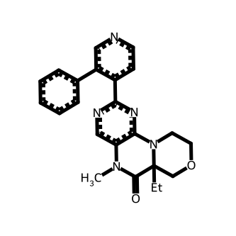 CCC12COCCN1c1nc(-c3ccncc3-c3ccccc3)ncc1N(C)C2=O